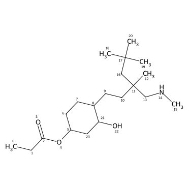 CCC(=O)OC1CCC(CCC(C)(CNC)CC(C)(C)C)C(O)C1